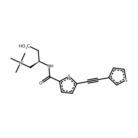 C[N+](C)(C)C[C@@H](CC(=O)O)NC(=O)c1ccc(C#Cc2ccsc2)s1